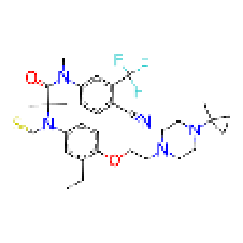 CCc1cc(N(C=S)C(C)(C)C(=O)N(C)c2ccc(C#N)c(C(F)(F)F)c2)ccc1OCCN1CCN(C2(C)CC2)CC1